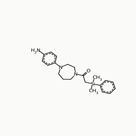 C[Si](C)(CC(=O)N1CCCN(c2ccc(N)cc2)CC1)c1ccccc1